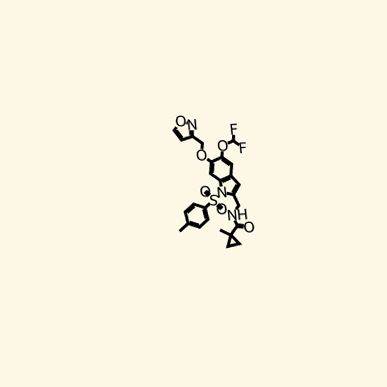 Cc1ccc(S(=O)(=O)n2c(CNC(=O)C3(C)CC3)cc3cc(OC(F)F)c(OCc4ccon4)cc32)cc1